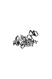 CCCCN(C(=O)Nc1c(C(C)C)cc(-c2ccccn2)cc1C(C)C)c1cc2cccnc2[nH]c1=O